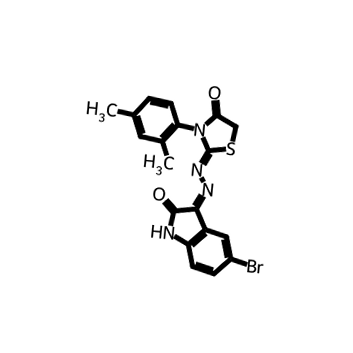 Cc1ccc(N2C(=O)CSC2=NN=C2C(=O)Nc3ccc(Br)cc32)c(C)c1